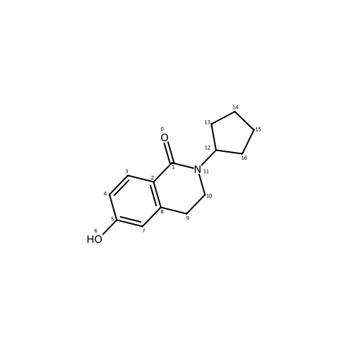 O=C1c2ccc(O)cc2CCN1C1CCCC1